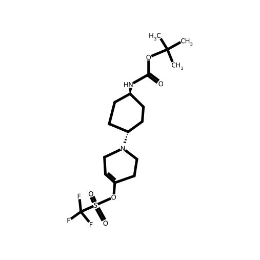 CC(C)(C)OC(=O)N[C@H]1CC[C@H](N2CC=C(OS(=O)(=O)C(F)(F)F)CC2)CC1